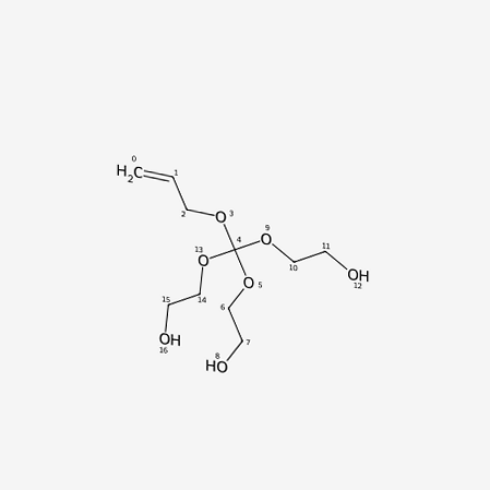 C=CCOC(OCCO)(OCCO)OCCO